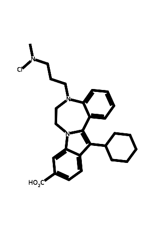 CN(Cl)CCCN1CCn2c(c(C3CCCCC3)c3ccc(C(=O)O)cc32)-c2ccccc21